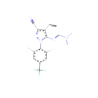 C=Cc1c(C#N)nn(-c2c(Cl)cc(C(F)(F)F)cc2Cl)c1N=CN(C)C